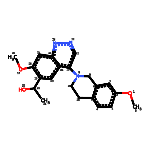 COc1ccc2c(c1)CN(c1cnnc3cc(OC)c(C(C)O)cc13)CC2